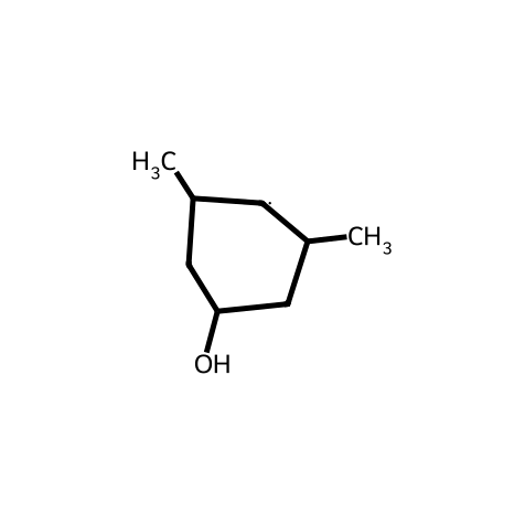 CC1[CH]C(C)CC(O)C1